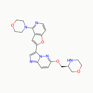 c1cc2oc(-c3cnc4ccc(OC[C@@H]5COCCN5)nn34)cc2c(N2CCOCC2)n1